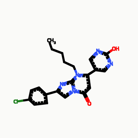 CCCCCn1c(-c2cnc(O)nc2)cc(=O)n2cc(-c3ccc(Cl)cc3)nc12